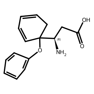 N[C@H](CC(=O)O)C1(Oc2ccccc2)C=CC=CC1